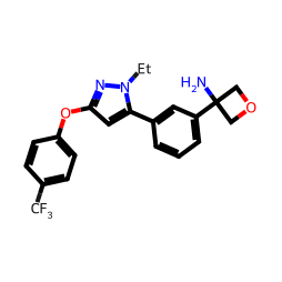 CCn1nc(Oc2ccc(C(F)(F)F)cc2)cc1-c1cccc(C2(N)COC2)c1